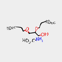 CCCCCCCCCCCCOCC(CO)OCCCCCCCCCCCC.NC(=O)O